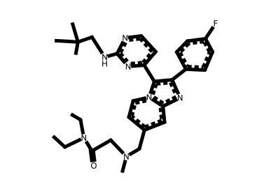 CCN(CC)C(=O)CN(C)Cc1ccn2c(-c3ccnc(NCC(C)(C)C)n3)c(-c3ccc(F)cc3)nc2c1